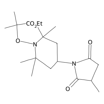 CCOC(=O)C(C)(C)ON1C(C)(C)CC(N2C(=O)CC(C)C2=O)CC1(C)C